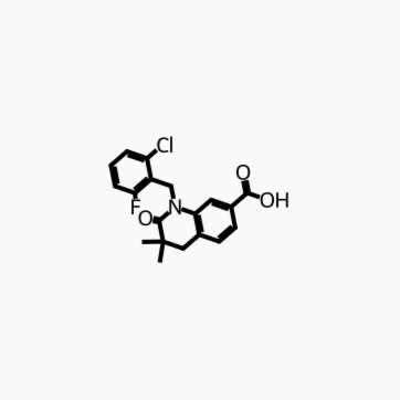 CC1(C)Cc2ccc(C(=O)O)cc2N(Cc2c(F)cccc2Cl)C1=O